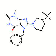 C=C1NC(=O)C2C(N=C(N3CCCC(C(C)(C)C)C3)N2Cc2ccccc2)N1C